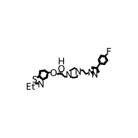 CCc1nc2cc(OC[C@@H](O)CN3CCN(CCn4cc(-c5ccc(F)cc5)cn4)CC3)ccc2s1